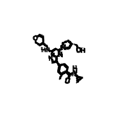 Cc1cc(-c2cnn3c(NCC4CCOCC4)cc(N4CC[C@H](CO)C4)nc23)ccc1C(=O)NC1CC1